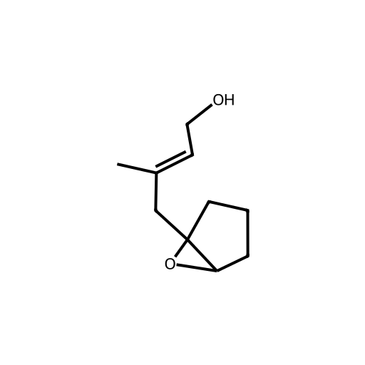 CC(=CCO)CC12CCCC1O2